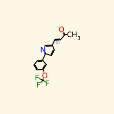 CC(=O)/C=C/c1ccc(-c2cccc(OC(F)(F)F)c2)nc1